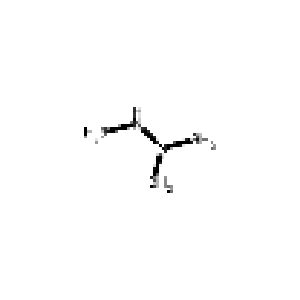 BNN(B)B